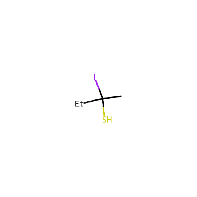 CCC(C)(S)I